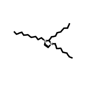 CCCCCCCCCN1C=CN(CCCCCCC)C1CCCCCCC